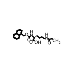 C=CC(=O)NCCCC[C@H](NC(=O)OCc1cccc2ccccc12)C(=O)O